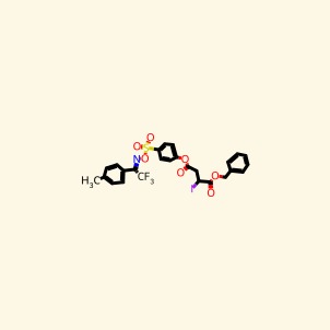 Cc1ccc(C(=NOS(=O)(=O)c2ccc(OC(=O)CC(I)C(=O)OCc3ccccc3)cc2)C(F)(F)F)cc1